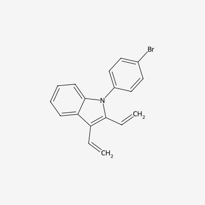 C=Cc1c(C=C)n(-c2ccc(Br)cc2)c2ccccc12